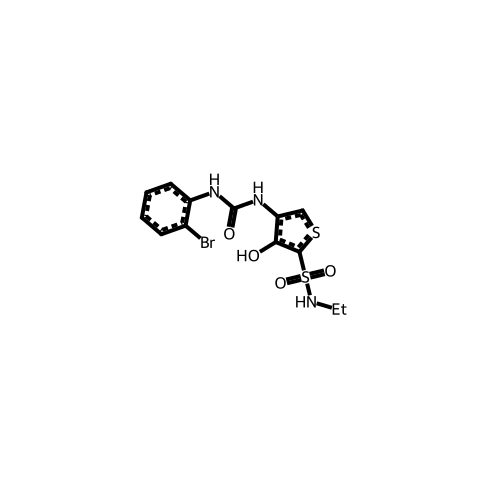 CCNS(=O)(=O)c1scc(NC(=O)Nc2ccccc2Br)c1O